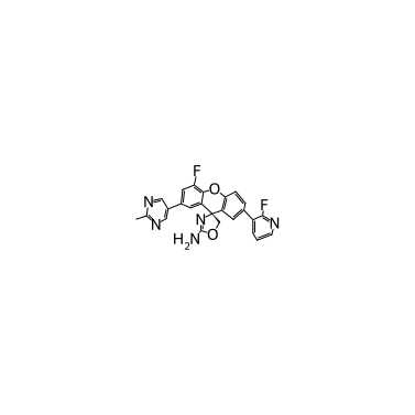 Cc1ncc(-c2cc(F)c3c(c2)[C@]2(COC(N)=N2)c2cc(-c4cccnc4F)ccc2O3)cn1